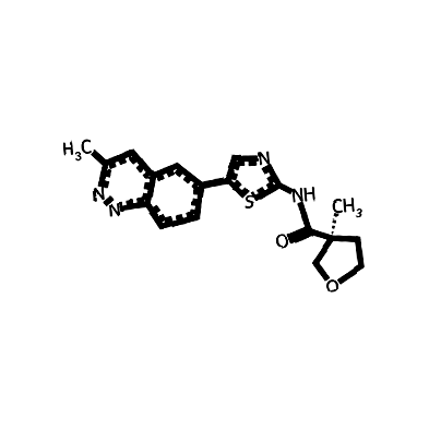 Cc1cc2cc(-c3cnc(NC(=O)[C@@]4(C)CCOC4)s3)ccc2nn1